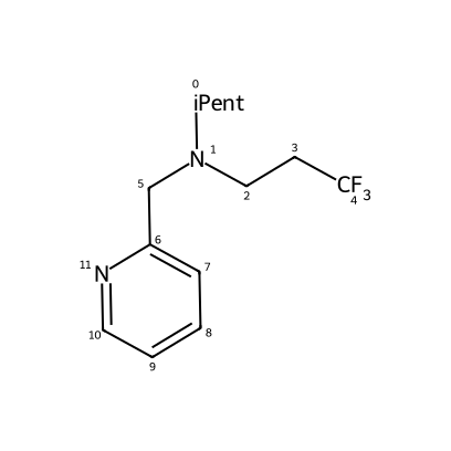 CCCC(C)N(CCC(F)(F)F)Cc1ccccn1